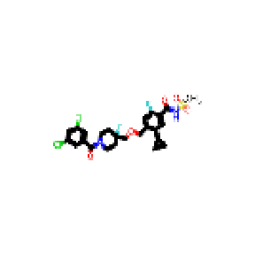 CS(=O)(=O)NC(=O)c1cc(C2CC2)c(COCC2(F)CCN(C(=O)c3cc(Cl)cc(Cl)c3)CC2)cc1F